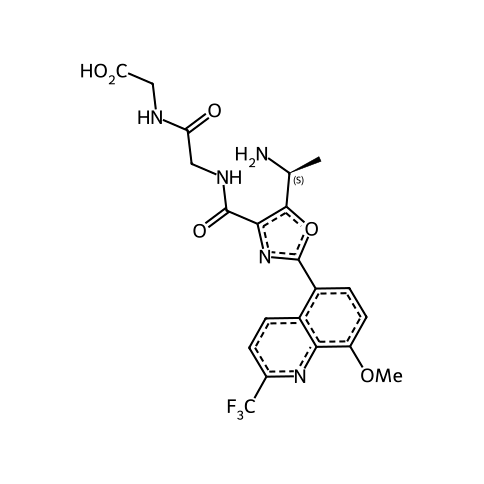 COc1ccc(-c2nc(C(=O)NCC(=O)NCC(=O)O)c([C@H](C)N)o2)c2ccc(C(F)(F)F)nc12